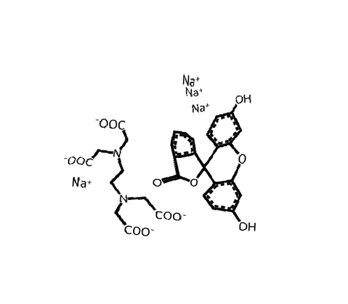 O=C([O-])CN(CCN(CC(=O)[O-])CC(=O)[O-])CC(=O)[O-].O=C1OC2(c3ccc(O)cc3Oc3cc(O)ccc32)c2ccccc21.[Na+].[Na+].[Na+].[Na+]